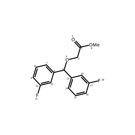 COC(=O)COC(c1cccc(F)c1)c1cccc(F)c1